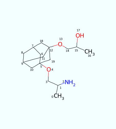 CC(N)COC12CC3CC(C1)CC(OCC(C)O)(C3)C2